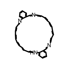 C1=CC=CC=CNc2ccccc2C=NC=CC=CC=CC=CC=CN=Cc2ccccc2N=CC=CC=C1